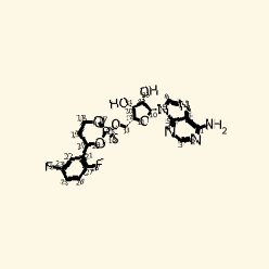 Nc1ncnc2c1ncn2[C@@H]1O[C@H](COP2(=S)OCCC(c3cc(F)ccc3F)O2)[C@H](O)[C@@H]1O